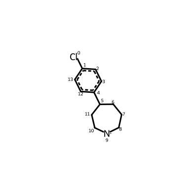 Clc1ccc(C2CCC[N]CC2)cc1